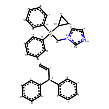 C=CB(c1ccccc1)c1ccccc1.c1ccc([Si](Cn2ccnc2)(c2ccccc2)C2CC2)cc1